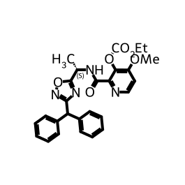 CCOC(=O)Oc1c(OC)ccnc1C(=O)N[C@@H](C)c1nc(C(c2ccccc2)c2ccccc2)no1